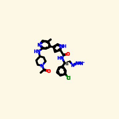 CC(=O)N1CCC(Nc2cc(-c3c[nH]c(C(=O)N[C@H](CN=[N+]=[N-])c4cccc(Cl)c4)c3)c(C)cn2)CC1